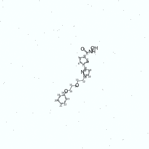 O=C(NO)c1ccc(-c2ccn(CCOCCOc3ccccc3)n2)s1